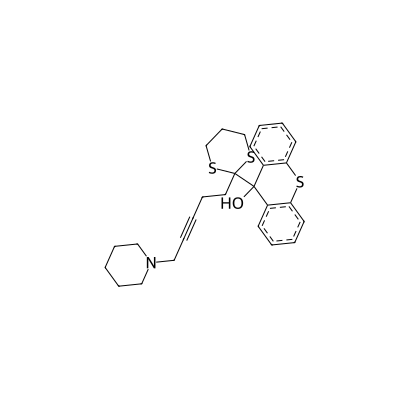 OC1(C2(CCC#CCN3CCCCC3)SCCCS2)c2ccccc2Sc2ccccc21